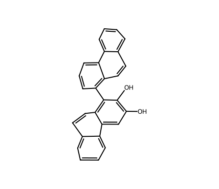 Oc1cc2c(ccc3ccccc32)c(-c2cccc3c2ccc2ccccc23)c1O